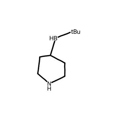 CC(C)(C)BC1CCNCC1